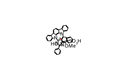 COc1c(S(=O)(=O)O)cc(-n2c3ccccc3c3ccc4c5ccccc5n(-c5nc(-c6ccccc6)nc(-c6ccccc6)n5)c4c32)cc1S(=O)(=O)O